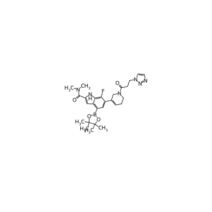 CN(C)C(=O)c1cc2c(B3OC(C)(C)C(C)(C)O3)cc(C3=CCCN(C(=O)CCn4ccnn4)C3)c(F)c2[nH]1